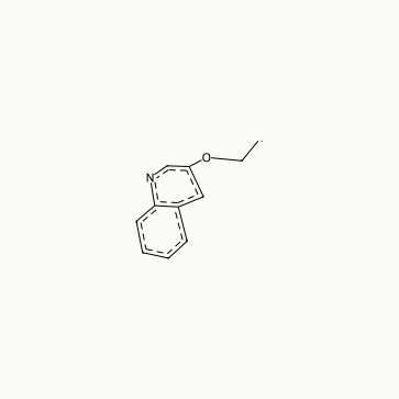 [CH2]COc1cnc2ccccc2c1